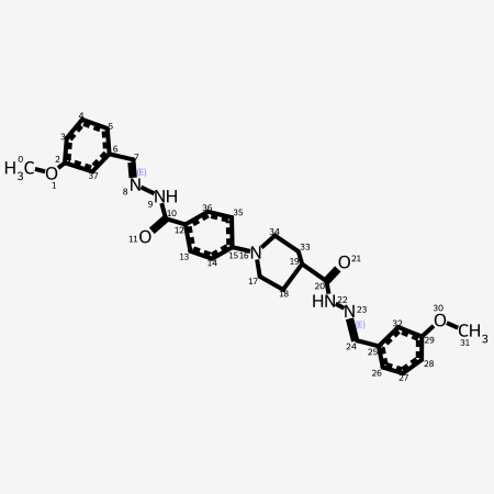 COc1cccc(/C=N/NC(=O)c2ccc(N3CCC(C(=O)N/N=C/c4cccc(OC)c4)CC3)cc2)c1